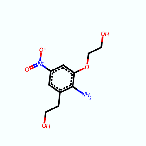 Nc1c(CCO)cc([N+](=O)[O-])cc1OCCO